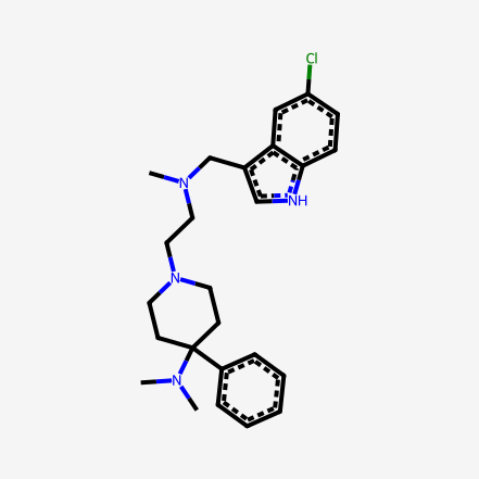 CN(CCN1CCC(c2ccccc2)(N(C)C)CC1)Cc1c[nH]c2ccc(Cl)cc12